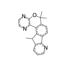 CC1c2cccnc2-c2ccc3c(c21)-c1nccnc1OC3(C)C